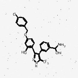 NC(O)c1cccc(-c2c(-c3ccc(OCc4ccc(Cl)cc4)cc3O)n[nH]c2C(F)(F)F)c1